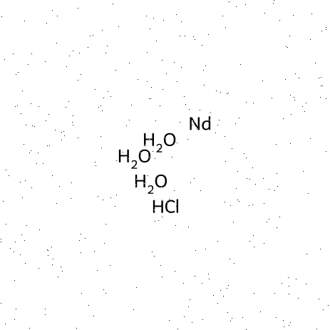 Cl.O.O.O.[Nd]